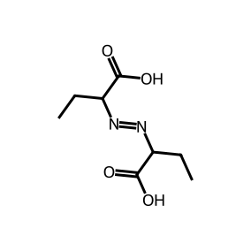 CCC(N=NC(CC)C(=O)O)C(=O)O